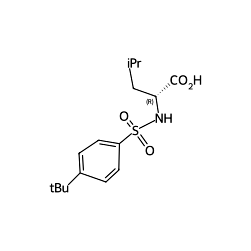 CC(C)C[C@@H](NS(=O)(=O)c1ccc(C(C)(C)C)cc1)C(=O)O